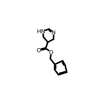 O=C(OCc1ccccc1)C1CN=CNC1